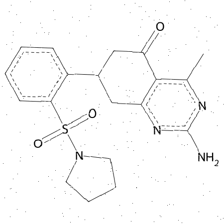 Cc1nc(N)nc2c1C(=O)CC(c1ccccc1S(=O)(=O)N1CCCC1)C2